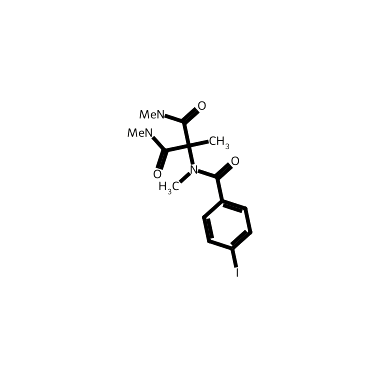 CNC(=O)C(C)(C(=O)NC)N(C)C(=O)c1ccc(I)cc1